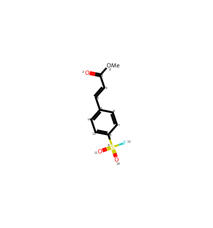 COC(=O)/C=C/c1ccc(S(=O)(=O)F)cc1